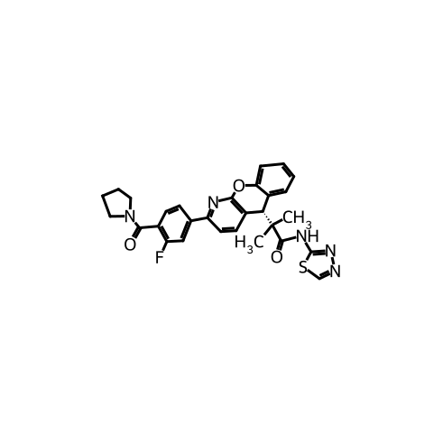 CC(C)(C(=O)Nc1nncs1)[C@H]1c2ccccc2Oc2nc(-c3ccc(C(=O)N4CCCC4)c(F)c3)ccc21